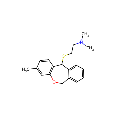 Cc1ccc2c(c1)OCc1ccccc1C2SCCN(C)C